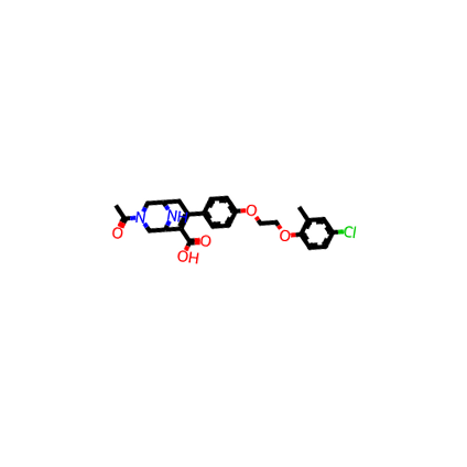 CC(=O)N1CC2CC(c3ccc(OCCOc4ccc(Cl)cc4C)cc3)=C(C(=O)O)C(C1)N2